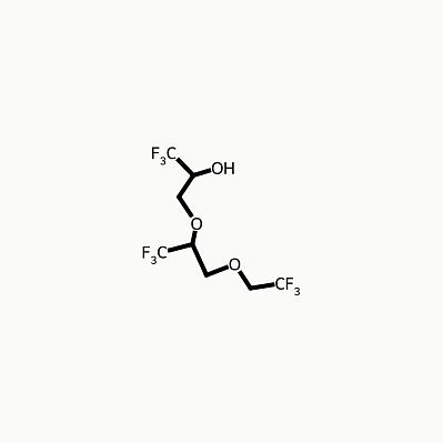 OC(COC(COCC(F)(F)F)C(F)(F)F)C(F)(F)F